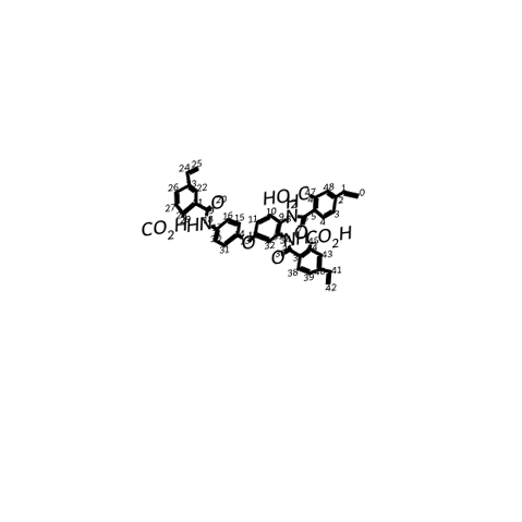 C=Cc1ccc(C(=O)Nc2ccc(Oc3ccc(NC(=O)c4cc(C=C)ccc4C(=O)O)cc3)cc2NC(=O)c2ccc(C=C)cc2C(=O)O)c(C(=O)O)c1